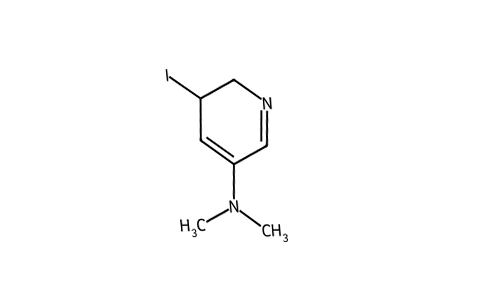 CN(C)C1=CC(I)CN=C1